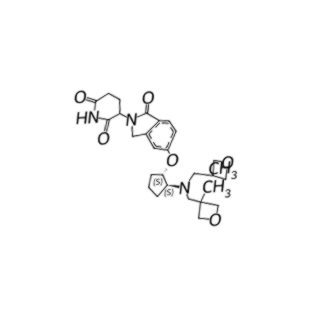 CC1(CN(CC2(C)COC2)[C@H]2CCC[C@@H]2Oc2ccc3c(c2)CN(C2CCC(=O)NC2=O)C3=O)COC1